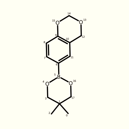 CC1(C)COB(c2ccc3c(c2)COCO3)OC1